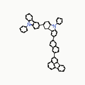 C1=C(c2ccc3c(c2)c2ccccc2n3-c2ccccc2)CC2C(=C1)N(c1ccccc1)c1ccc(-c3ccc4cc(-c5cc6c7c(cccc7c5)-c5ccccc5-6)ccc4c3)cc12